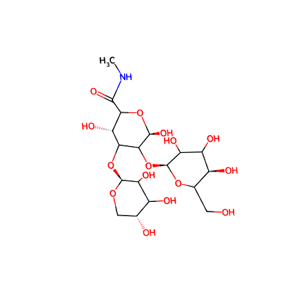 CNC(=O)C1O[C@@H](O)C(O[C@@H]2OC(CO)[C@H](O)C(O)C2O)C(O[C@@H]2OC[C@@H](O)C(O)C2O)[C@@H]1O